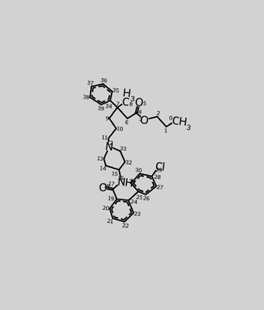 CCCOC(=O)CC(C)(CCCN1CCC(NC(=O)c2ccccc2-c2ccc(Cl)cc2)CC1)c1ccccc1